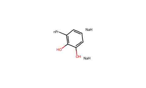 CCCc1cccc(O)c1O.[NaH].[NaH]